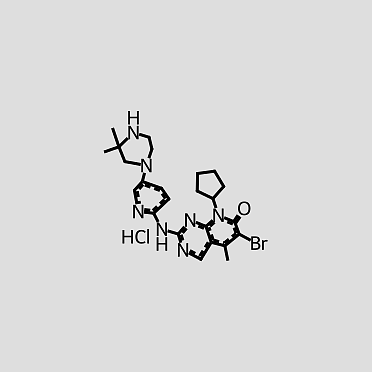 Cc1c(Br)c(=O)n(C2CCCC2)c2nc(Nc3ccc(N4CCNC(C)(C)C4)cn3)ncc12.Cl